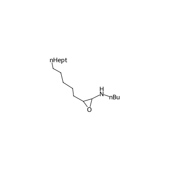 CCCCCCCCCCCCC1OC1NCCCC